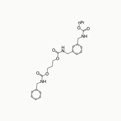 CCCOC(=O)NCc1cccc(CNC(=O)OCCCOC(=O)NCc2ccccc2)c1